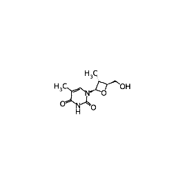 Cc1cn([C@@H]2O[C@H](CO)[C@H]2C)c(=O)[nH]c1=O